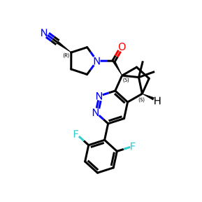 CC1(C)[C@@H]2CC[C@@]1(C(=O)N1CC[C@@H](C#N)C1)c1nnc(-c3c(F)cccc3F)cc12